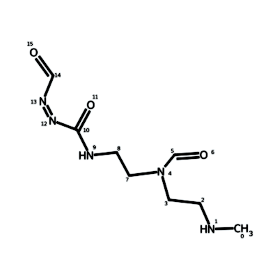 CNCCN(C=O)CCNC(=O)/N=N\C=O